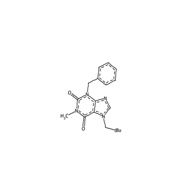 Cn1c(=O)c2c(ncn2CC(C)(C)C)n(Cc2ccccc2)c1=O